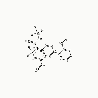 COc1ccccc1-c1ccc2c(c1)C(C=O)=CC(C)(C)N2C(=O)CC(C)(C)C